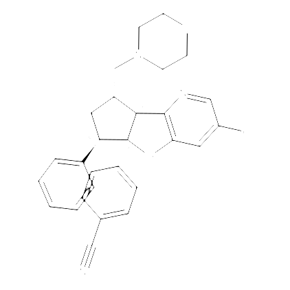 N#Cc1ccc([C@@]23Oc4cc(Cl)cnc4[C@]2(O)[C@@H](CN2CCOCC2)C[C@@H]3c2ccccc2)cc1